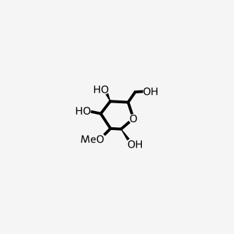 COC1C(O)[C@@H](O)C(CO)O[C@H]1O